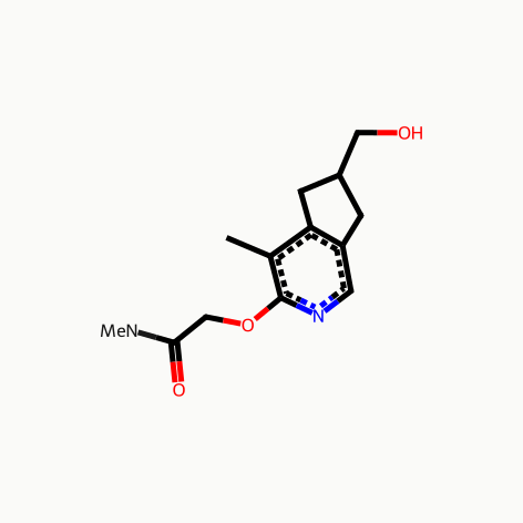 CNC(=O)COc1ncc2c(c1C)CC(CO)C2